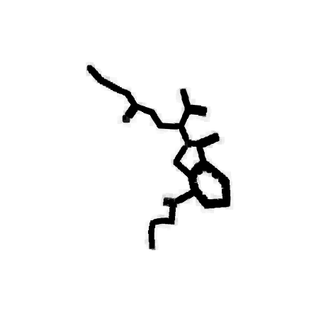 C=C(C)C(CCC(=O)CCC)N1Cc2c(NCCC)cccc2C1=C